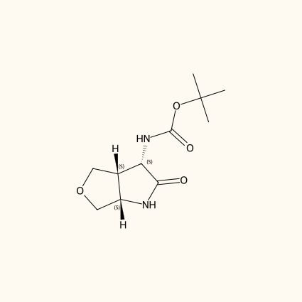 CC(C)(C)OC(=O)N[C@@H]1C(=O)N[C@@H]2COC[C@H]12